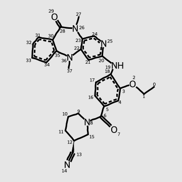 CCOc1cc(C(=O)N2CCC[C@H](C#N)C2)ccc1Nc1cc2c(cn1)N(C)C(=O)c1ccccc1N2C